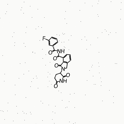 O=C1CCC(N2Cc3cccc(C(=O)NC(=O)c4cccc(F)c4)c3C2=O)C(=O)N1